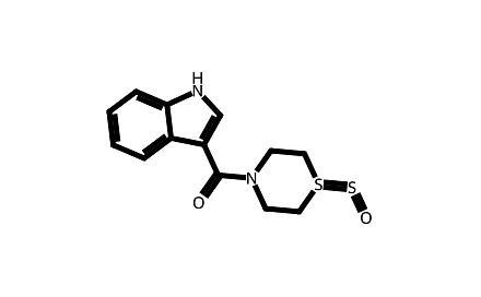 O=S=S1CCN(C(=O)c2c[nH]c3ccccc23)CC1